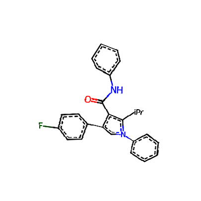 CC(C)c1c(C(=O)Nc2ccccc2)c(-c2ccc(F)cc2)cn1-c1ccccc1